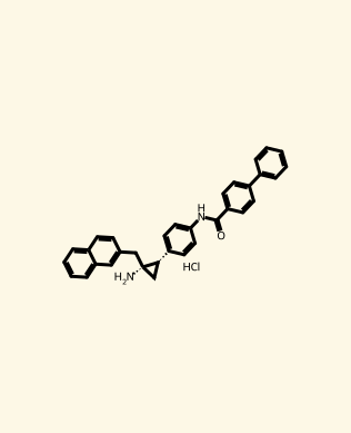 Cl.N[C@@]1(Cc2ccc3ccccc3c2)C[C@H]1c1ccc(NC(=O)c2ccc(-c3ccccc3)cc2)cc1